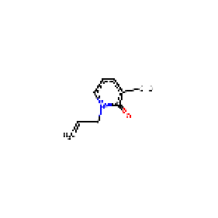 C=CCn1cccc([C]=O)c1=O